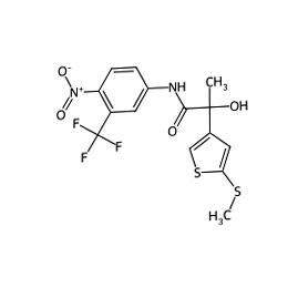 CSc1cc(C(C)(O)C(=O)Nc2ccc([N+](=O)[O-])c(C(F)(F)F)c2)cs1